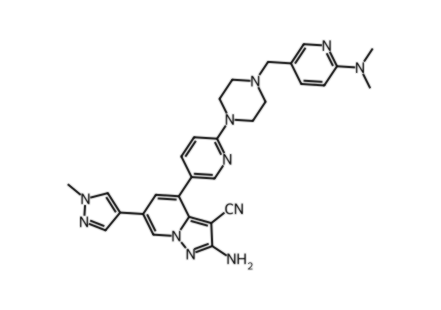 CN(C)c1ccc(CN2CCN(c3ccc(-c4cc(-c5cnn(C)c5)cn5nc(N)c(C#N)c45)cn3)CC2)cn1